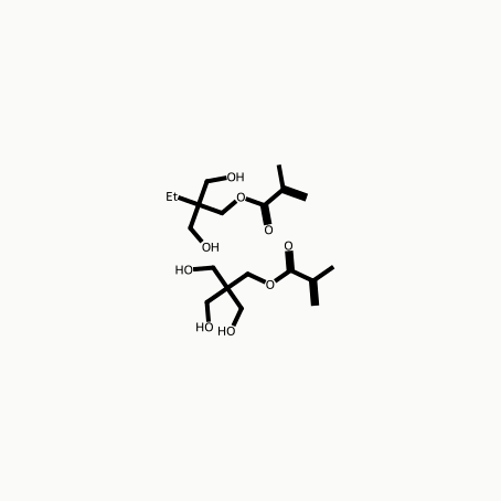 C=C(C)C(=O)OCC(CC)(CO)CO.C=C(C)C(=O)OCC(CO)(CO)CO